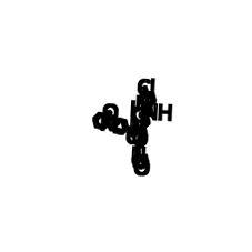 O=C(CC(COCCN1CCOCC1)NC(=O)c1ccc(N2CCCCC2=O)cc1)Nc1ccc(Cl)cn1